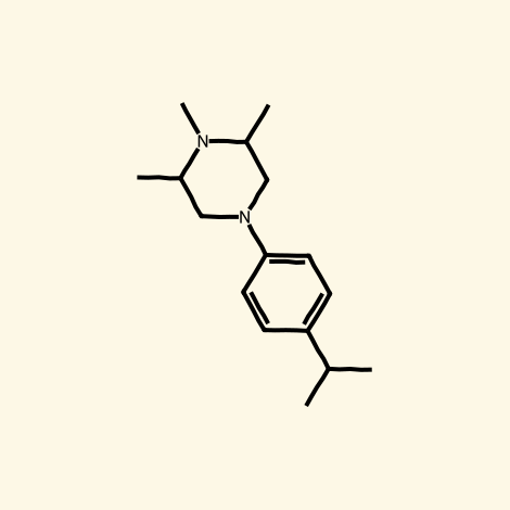 CC(C)c1ccc(N2CC(C)N(C)C(C)C2)cc1